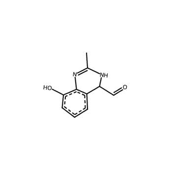 CC1=Nc2c(O)cccc2C(C=O)N1